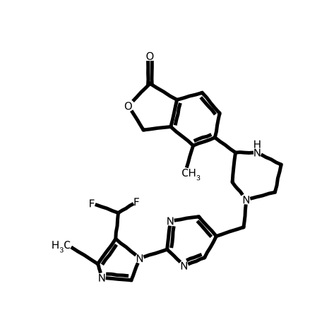 Cc1ncn(-c2ncc(CN3CCNC(c4ccc5c(c4C)COC5=O)C3)cn2)c1C(F)F